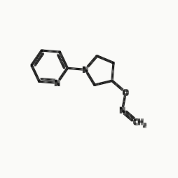 C=NOC1CCN(c2ccccn2)C1